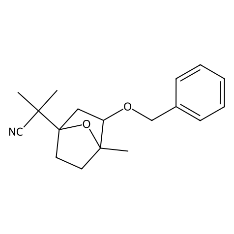 CC12CCC(C(C)(C)C#N)(CC1OCc1ccccc1)O2